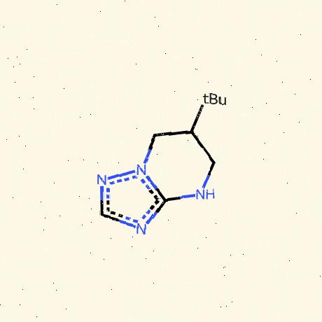 CC(C)(C)C1CNc2ncnn2C1